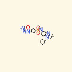 CN(C)CC(=O)Nc1ccc(S(=O)(=O)N(C)c2ccc3c(c2)nc(C(C)(C)C)n3CC2CCCCC2)cc1